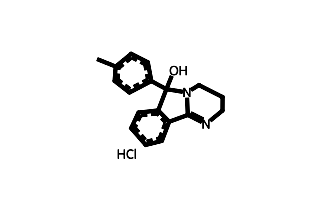 Cc1ccc(C2(O)c3ccccc3C3=NCCCN32)cc1.Cl